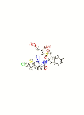 O=C(N[C@@H]1Cc2ccccc2[C@H]1CS(=O)(=O)CC(O)CO)c1cc2cc(Cl)sc2[nH]1